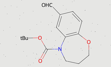 CC(C)(C)OC(=O)N1CCCOc2ccc(C=O)cc21